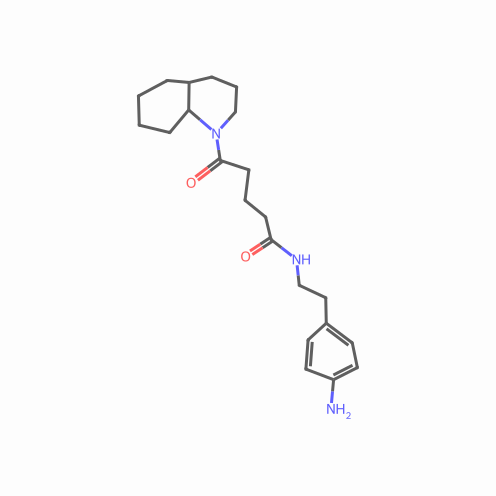 Nc1ccc(CCNC(=O)CCCC(=O)N2CCCC3CCCCC32)cc1